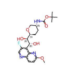 COc1ccc2ncc(F)c([C@@H](O)[C@@H](O)[C@@H]3CC[C@@H](NC(=O)OC(C)(C)C)CO3)c2n1